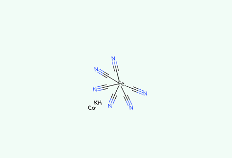 N#[C][Fe]([C]#N)([C]#N)([C]#N)([C]#N)[C]#N.[Co].[KH]